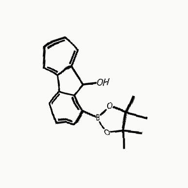 CC1(C)OB(c2cccc3c2C(O)c2ccccc2-3)OC1(C)C